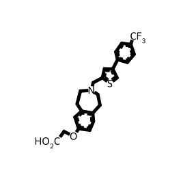 O=C(O)COc1ccc2c(c1)CCN(Cc1cc(-c3ccc(C(F)(F)F)cc3)cs1)CC2